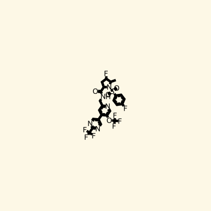 CC1C(F)CC(C(=O)NCc2cc(-c3cnc(C(F)(F)F)nc3)c(OC(F)(F)F)cn2)N1S(=O)(=O)c1ccc(F)cc1